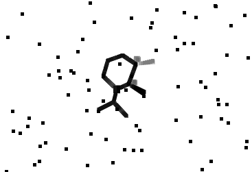 CC(C)N1CCC[C@H](C)[C@H]1C